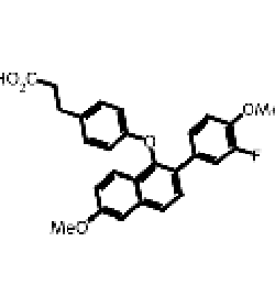 COc1ccc2c(Oc3ccc(CCC(=O)O)cc3)c(-c3ccc(OC)c(F)c3)ccc2c1